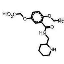 CCOC(=O)COc1ccc(OCC(F)(F)F)c(C(=O)NCC2CCCCN2)c1.Cl